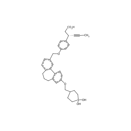 CC#C[C@@H](CC(=O)O)c1ccc(OCc2ccc3c(c2)-c2ccc(OCC4CCS(O)(O)CC4)cc2CCC3)cc1